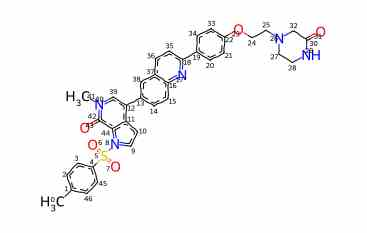 Cc1ccc(S(=O)(=O)n2ccc3c(-c4ccc5nc(-c6ccc(OCCN7CCNC(=O)C7)cc6)ccc5c4)cn(C)c(=O)c32)cc1